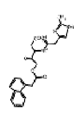 Cc1nc(CC(=O)NC(CC(=O)O)C(=O)COC(=O)Cc2cccc3ccccc23)c[nH]1